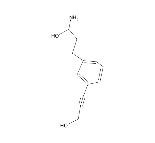 NC(O)CCc1cccc(C#CCO)c1